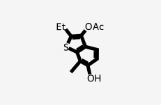 CCc1sc2c(C)c(O)ccc2c1OC(C)=O